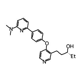 CC[C@@H](O)CCc1cnccc1Oc1ccc(-c2cccc(N(C)C)n2)cc1